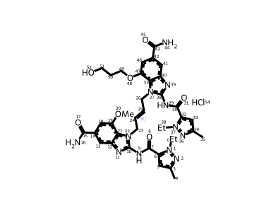 CCn1nc(C)cc1C(=O)Nc1nc2cc(C(N)=O)cc(OC)c2n1C/C=C/Cn1c(NC(=O)c2cc(C)nn2CC)nc2cc(C(N)=O)cc(OCCCO)c21.Cl